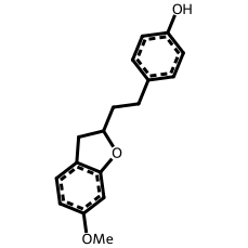 COc1ccc2c(c1)OC(CCc1ccc(O)cc1)C2